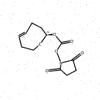 O=C(O[C@@H]1CC/C=C/CCC1)ON1C(=O)CCC1=O